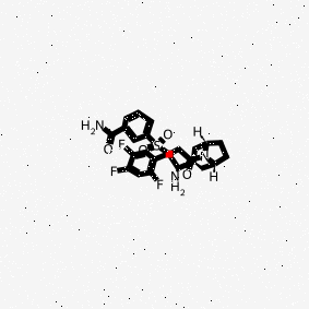 NC(=O)c1cccc(S(=O)(=O)CCC(=O)N2[C@@H]3CC[C@H]2C[C@@H]([C@H](N)Cc2cc(F)c(F)cc2F)C3)c1